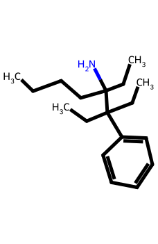 CCCCC(N)(CC)C(CC)(CC)c1ccccc1